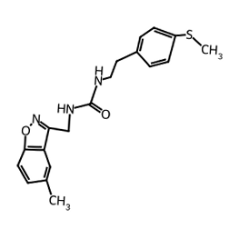 CSc1ccc(CCNC(=O)NCc2noc3ccc(C)cc23)cc1